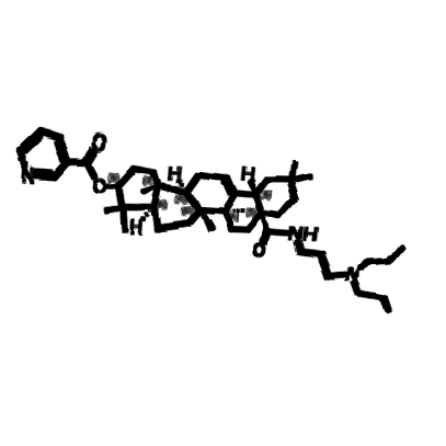 CCCN(CCC)CCCNC(=O)[C@]12CCC(C)(C)C[C@H]1C1=CC[C@@H]3[C@@]4(C)CC[C@H](OC(=O)c5cccnc5)C(C)(C)[C@@H]4CC[C@@]3(C)[C@]1(C)CC2